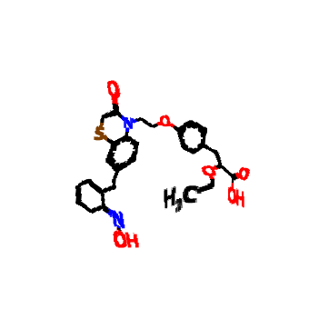 CCOC(Cc1ccc(OCCN2C(=O)CSc3cc(CC4=CC=CCC4=NO)ccc32)cc1)C(=O)O